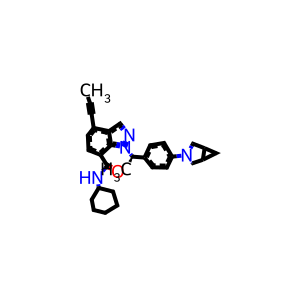 CC#Cc1ccc(C(=O)NC2CCCCC2)c2c1cnn2[C@H](C)c1ccc(N2CC3CC3C2)cc1